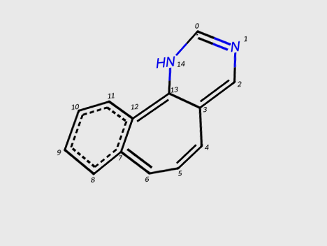 [C]1=NC=C2C=CC=c3ccccc3=C2N1